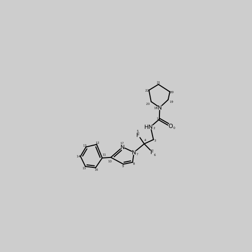 O=C(NCC(F)(F)n1ccc(-c2ccccc2)n1)N1CCCCC1